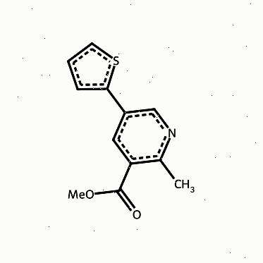 COC(=O)c1cc(-c2cccs2)cnc1C